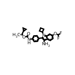 C[C@@H](OC(=O)Nc1ccc(-c2c(N)c3ccc(OC(F)F)cc3n2C2CCC2)cc1)C1CC1